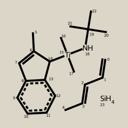 C=CC=CC.CC1=Cc2ccccc2[CH]1[Ti]([CH3])([CH3])[NH]C(C)(C)C.[SiH4]